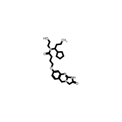 CCCC(C1CCCC1)N(CCO)C(=O)CCCOc1ccc2c(c1)N=C1NC(=O)CN1C2